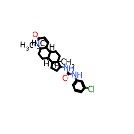 CN1C(=O)C=C[C@@]2(C)C1CC[C@@H]1[C@H]2CC[C@]2(C)C(NC(=O)Nc3cccc(Cl)c3)CC[C@@H]12